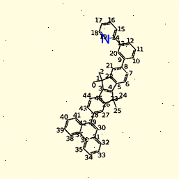 CC1(C)C2=C(c3ccc(-c4cccc(-c5ccccn5)c4)cc31)C(C)(C)c1cc(-c3cc4ccccc4c4ccccc34)ccc12